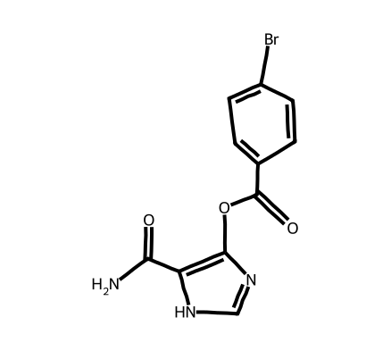 NC(=O)c1[nH]cnc1OC(=O)c1ccc(Br)cc1